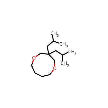 CC(C)CC1(CC(C)C)COCCCCOC1